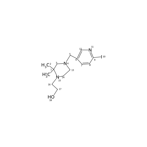 CC1(C)CN(Cc2ccc(I)nc2)CCN1CCO